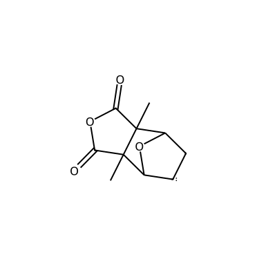 CC12C(=O)OC(=O)C1(C)C1C[C]C2O1